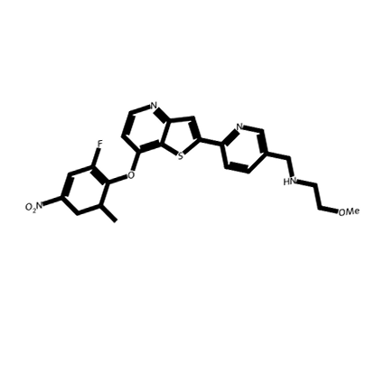 COCCNCc1ccc(-c2cc3nccc(OC4=C(F)C=C([N+](=O)[O-])CC4C)c3s2)nc1